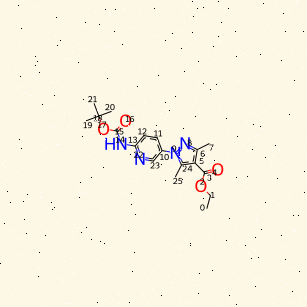 CCOC(=O)c1c(C)nn(-c2ccc(NC(=O)OC(C)(C)C)nc2)c1C